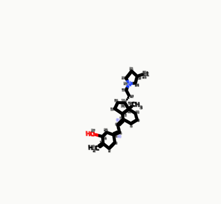 C=C1CC/C(=C/C=C2\CCCC3(C)C2CC[C@@H]3CCN2CCC(CC)C2)CC1O